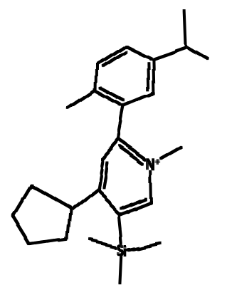 Cc1ccc(C(C)C)cc1-c1cc(C2CCCC2)c([Si](C)(C)C)c[n+]1C